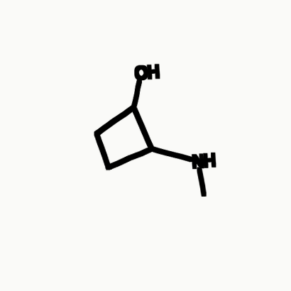 CNC1CCC1O